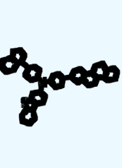 c1ccc2c(-c3ccc(N(c4ccc(-c5ccc6c(ccc7c8ccccc8ccc67)c5)cc4)c4ccc5c(c4)sc4ccccc45)cc3)cccc2c1